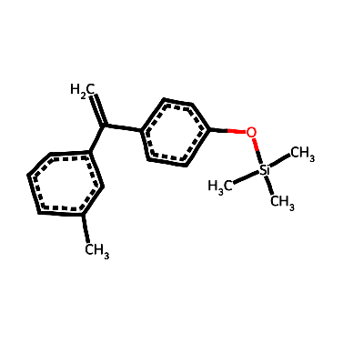 C=C(c1ccc(O[Si](C)(C)C)cc1)c1cccc(C)c1